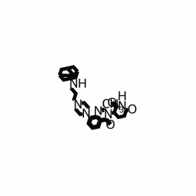 Cc1nc2c(N3CCN(CCCNC45CC6CC(CC(C6)C4)C5)CC3)cccc2c(=O)n1C1CCC(=O)NC1=O